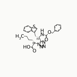 CCCC[C@@H](C(=O)O)n1nnnc1[C@H](Cc1csc2ccccc12)NC(=O)OCc1ccccc1